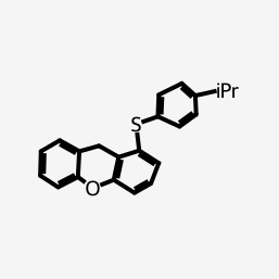 CC(C)c1ccc(Sc2cccc3c2Cc2ccccc2O3)cc1